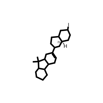 CC1(C)C2CCCCC2C2CC=C(C3CCC4CC(I)CC[C@H]4C3)CC21